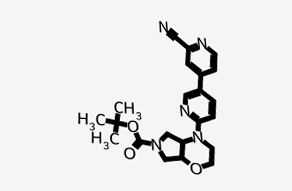 CC(C)(C)OC(=O)N1CC2OCCN(c3ccc(-c4ccnc(C#N)c4)cn3)C2C1